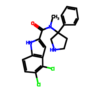 CN(C(=O)c1cc2c(Cl)c(Cl)ccc2[nH]1)C1(c2ccccc2)CCNC1